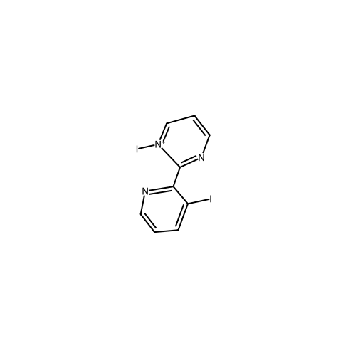 Ic1cccnc1-c1nccc[n+]1I